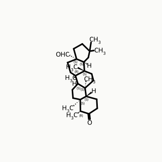 C[C@H]1C(=O)CC[C@@H]2[C@]1(C)CC[C@H]1[C@@]2(C)CC[C@@]2(C)[C@@H]3CC(C)(C)CC[C@]3(C=O)CC[C@]12C